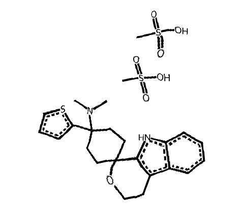 CN(C)C1(c2cccs2)CCC2(CC1)OCCc1c2[nH]c2ccccc12.CS(=O)(=O)O.CS(=O)(=O)O